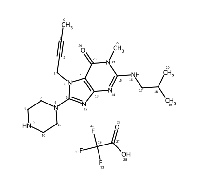 CC#CCn1c(N2CCNCC2)nc2nc(NCC(C)C)n(C)c(=O)c21.O=C(O)C(F)(F)F